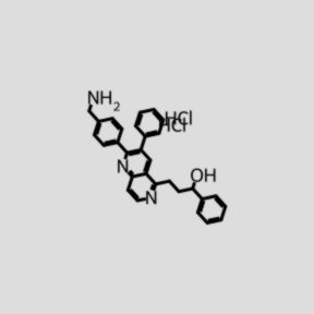 Cl.Cl.NCc1ccc(-c2nc3ccnc(CCC(O)c4ccccc4)c3cc2-c2ccccc2)cc1